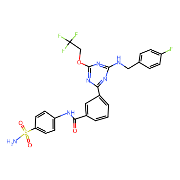 NS(=O)(=O)c1ccc(NC(=O)c2cccc(-c3nc(NCc4ccc(F)cc4)nc(OCC(F)(F)F)n3)c2)cc1